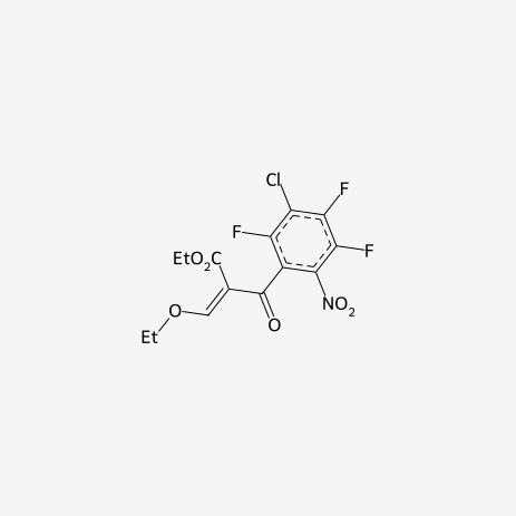 CCO/C=C(\C(=O)OCC)C(=O)c1c(F)c(Cl)c(F)c(F)c1[N+](=O)[O-]